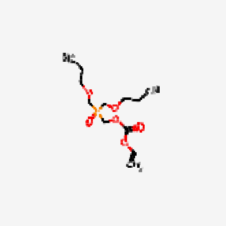 C=COC(=O)OCP(=O)(COCCC#N)COCCC#N